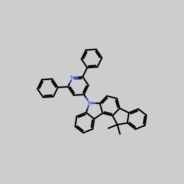 CC1(C)c2ccccc2-c2ccc3c(c21)c1ccccc1n3-c1cc(-c2ccccc2)nc(-c2ccccc2)c1